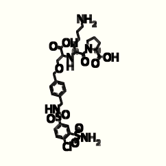 NCCCC[C@H](NC(COCc1ccc(CNS(=O)(=O)c2ccc(Cl)c(S(N)(=O)=O)c2)cc1)C(=O)O)C(=O)N1CCC[C@H]1C(=O)O